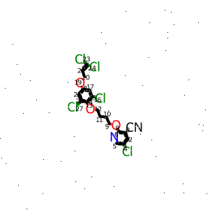 N#Cc1cc(Cl)cnc1OCCCCOc1c(Cl)cc(OCC=C(Cl)Cl)cc1Cl